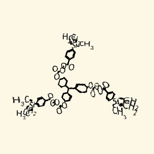 C=C[Si](C=C)(CC)c1ccc(C(=O)OOC(=O)OC2CCC(C(C3CCC(OC(=O)OOC(=O)c4ccc([Si](C=C)(C=C)CC)cc4)CC3)C3CCC(OC(=O)OOC(=O)c4ccc([Si](C=C)(C=C)CC)cc4)CC3)CC2)cc1